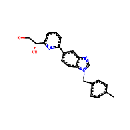 Cc1ccc(Cn2cnc3cc(-c4cccc([C@H](O)CO)n4)ccc32)cc1